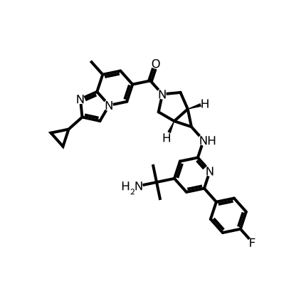 Cc1cc(C(=O)N2C[C@@H]3C(Nc4cc(C(C)(C)N)cc(-c5ccc(F)cc5)n4)[C@@H]3C2)cn2cc(C3CC3)nc12